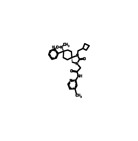 Cc1ccnc(NC(=O)CN2C[C@]3(CC[C@@](c4ccccc4)(N(C)C)CC3)N(CC3CCC3)C2=O)c1